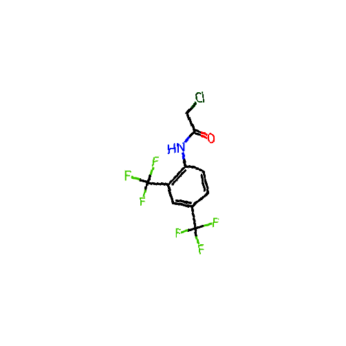 O=C(CCl)Nc1ccc(C(F)(F)F)cc1C(F)(F)F